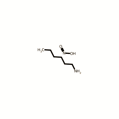 CCCCCCN.O=NO